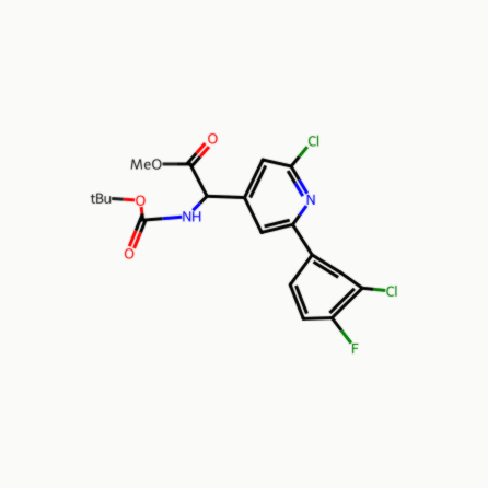 COC(=O)C(NC(=O)OC(C)(C)C)c1cc(Cl)nc(-c2ccc(F)c(Cl)c2)c1